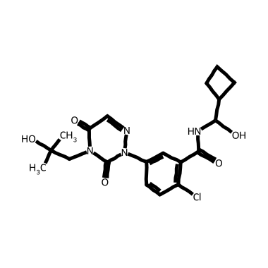 CC(C)(O)Cn1c(=O)cnn(-c2ccc(Cl)c(C(=O)NC(O)C3CCC3)c2)c1=O